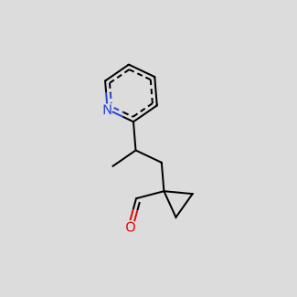 CC(CC1(C=O)CC1)c1ccccn1